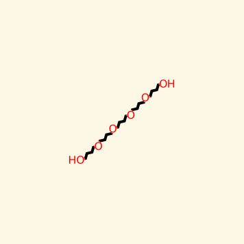 OCCCCOCCCCOCCCCOCCCCOCCCCO